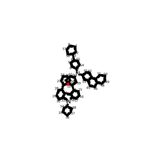 c1ccc(-c2ccc(N(c3cccc(-c4cccc5c4c4c(-c6ccccc6)cccc4n5-c4ccccc4)c3)c3ccc4c(ccc5ccccc54)c3)cc2)cc1